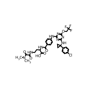 CN(C)C(=O)C(=O)NCCC(NC(=O)c1ccc(Nc2nc(NC3(c4ccc(Cl)cc4)CC3)nc(OCC(F)(F)F)n2)cc1)C(=O)O